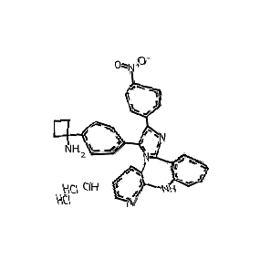 Cl.Cl.Cl.NC1(c2ccc(-c3c(-c4ccc([N+](=O)[O-])cc4)nc4n3-c3cccnc3Nc3ccccc3-4)cc2)CCC1